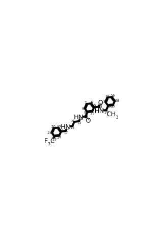 C[C@@H](NC(=O)c1cccc(C(=O)NCCCNCc2cccc(C(F)(F)F)c2)c1)c1ccccc1